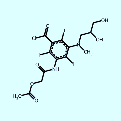 CC(=O)OCC(=O)Nc1c(I)c(C(=O)Cl)c(I)c(N(C)CC(O)CO)c1I